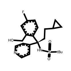 CC(C)(C)S(=O)(=O)N[C@](CCC1CC1)(c1ccncc1)c1ccc(F)cc1CO